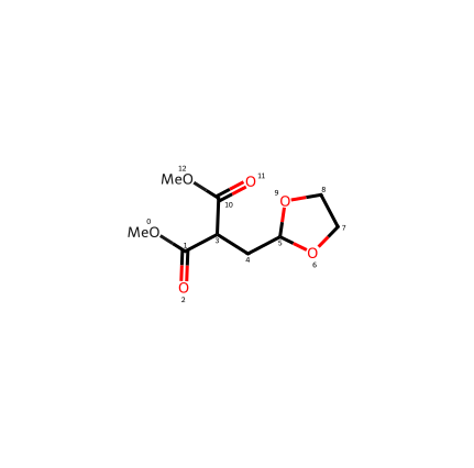 COC(=O)C(CC1OCCO1)C(=O)OC